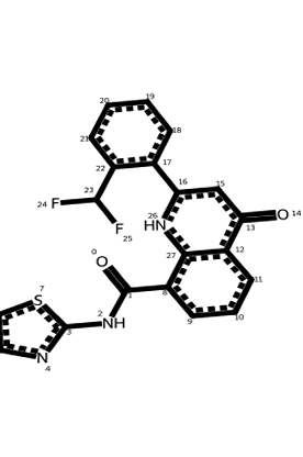 O=C(Nc1nccs1)c1cccc2c(=O)cc(-c3ccccc3C(F)F)[nH]c12